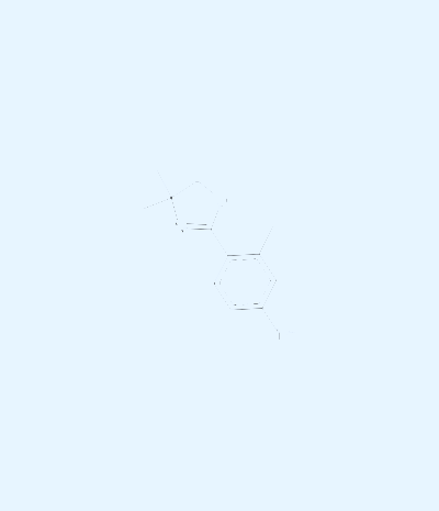 Cc1cc(C(C)C)ccc1C1=NC(C)(C)CO1